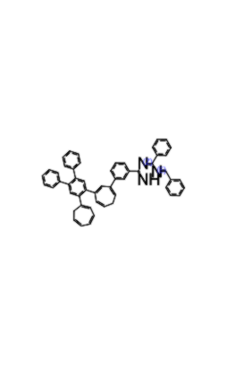 N=C(/N=C(\N=C\c1ccccc1)c1ccccc1)c1cccc(C2=CCC=CC(c3cc(-c4ccccc4)c(-c4ccccc4)cc3C3=CC=CC=CC3)=C2)c1